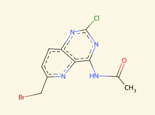 CC(=O)Nc1nc(Cl)nc2ccc(CBr)nc12